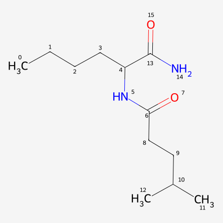 CCCCC(NC(=O)CCC(C)C)C(N)=O